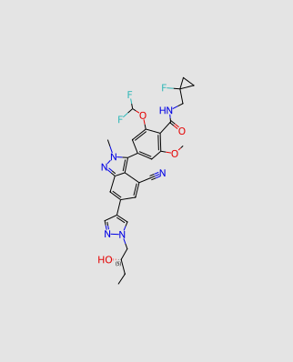 CC[C@H](O)Cn1cc(-c2cc(C#N)c3c(-c4cc(OC)c(C(=O)NCC5(F)CC5)c(OC(F)F)c4)n(C)nc3c2)cn1